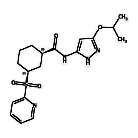 CC(C)Oc1cc(NC(=O)[C@@H]2CCC[C@H](S(=O)(=O)c3ccccn3)C2)[nH]n1